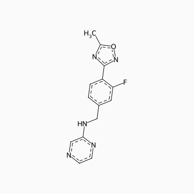 Cc1nc(-c2ccc(CNc3cnccn3)cc2F)no1